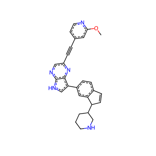 COc1cc(C#Cc2cnc3[nH]cc(-c4ccc5c(c4)C(C4CCCNC4)C=C5)c3n2)ccn1